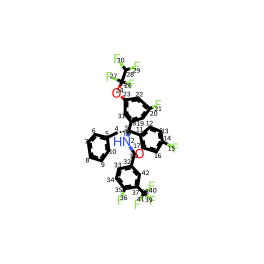 O=C(N[C@](Cc1ccccc1)(c1c[c]c(F)cc1)c1cc(F)cc(OC(F)(F)C(F)F)c1)c1ccc(F)c(C(F)(F)F)c1